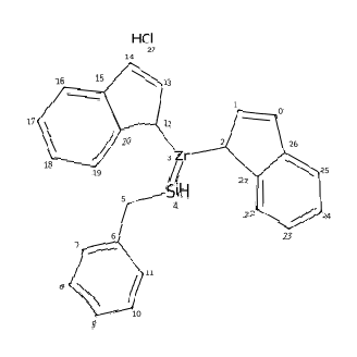 C1=C[CH]([Zr](=[SiH]Cc2ccccc2)[CH]2C=Cc3ccccc32)c2ccccc21.Cl